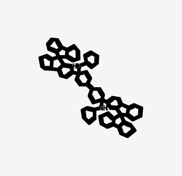 C1=CC(Nc2ccccc2)(c2ccc3c(c2)C2(c4ccccc4-c4ccccc42)c2ccccc2-3)C=CC1=C1C=CC(Nc2ccccc2)(c2ccc3c(c2)C2(c4ccccc4-c4ccccc42)c2ccccc2-3)C=C1